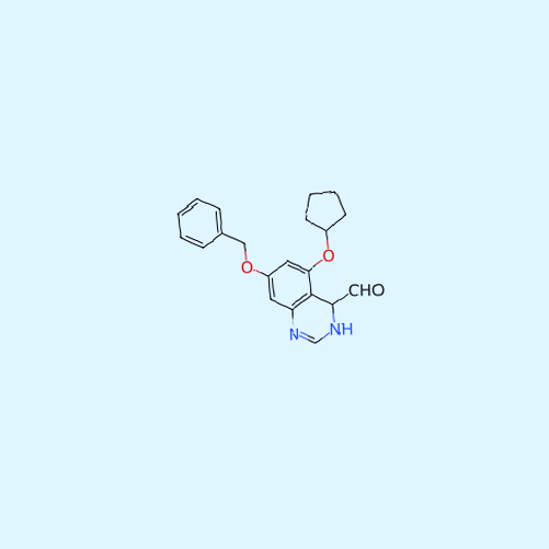 O=CC1NC=Nc2cc(OCc3ccccc3)cc(OC3CCCC3)c21